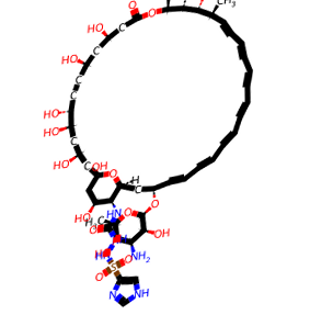 C[C@@H]1[C@H](O)[C@@H](C)/C=C/C=C/C=C/C=C/C=C/C=C/C=C/[C@H](O[C@@H]2O[C@H](C)[C@@H](O)[C@H](N)[C@@H]2O)C[C@@H]2O[C@](O)(C[C@@H](O)C[C@@H](O)[C@H](O)CC[C@@H](O)C[C@@H](O)CC(=O)O[C@H]1C)C[C@H](O)[C@H]2NC(=O)NNS(=O)(=O)c1c[nH]cn1